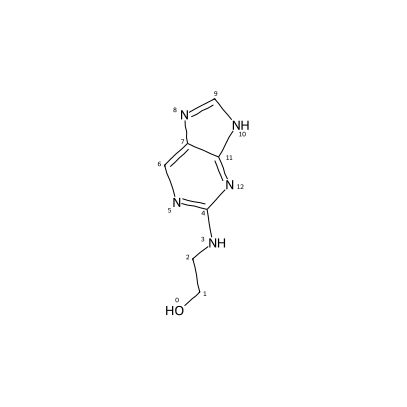 OCCNc1ncc2nc[nH]c2n1